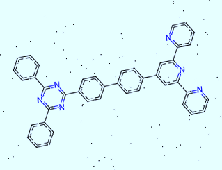 c1ccc(-c2nc(-c3ccccc3)nc(-c3ccc(-c4ccc(-c5cc(-c6ccccn6)nc(-c6ccccn6)c5)cc4)cc3)n2)cc1